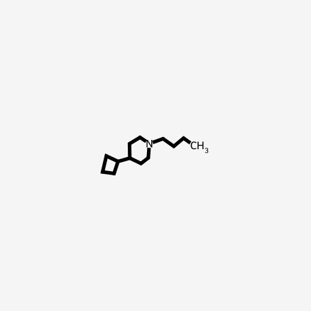 CCCCN1CCC(C2CCC2)CC1